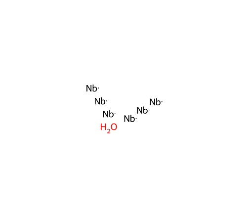 O.[Nb].[Nb].[Nb].[Nb].[Nb].[Nb]